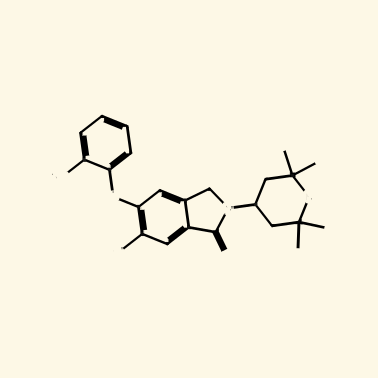 CC1(C)CC(N2Cc3cc(Oc4ccccc4C#N)c(Cl)cc3C2=O)CC(C)(C)N1